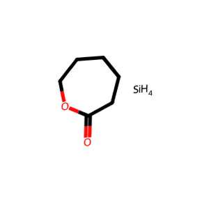 O=C1CCCCCO1.[SiH4]